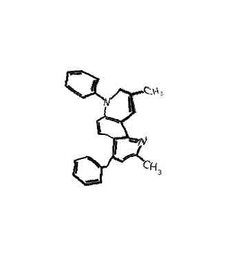 CC1=Cc2c(ccc3c(-c4ccccc4)cc(C)nc23)N(c2ccccc2)C1